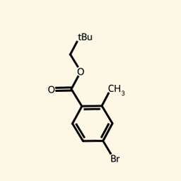 Cc1cc(Br)ccc1C(=O)OCC(C)(C)C